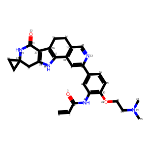 C=CC(=O)Nc1cc(-c2cc3c(cn2)CCc2c-3[nH]c3c2C(=O)NC2(CC2)C3)ccc1OCCN(C)C